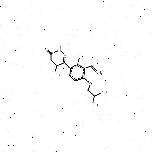 C=Cc1c(OCC(C)O)ccc(C2=NNC(=O)CC2C)c1F